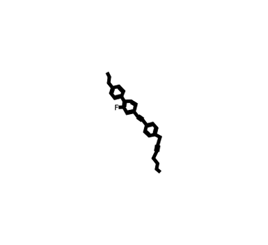 CCCCC#CCc1ccc(C#Cc2ccc(-c3ccc(CCC)cc3)c(F)c2)cc1